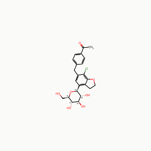 CC(=O)c1ccc(Cc2cc([C@@H]3O[C@H](CO)[C@@H](O)[C@H](O)[C@H]3O)c3c(c2Cl)OCC3)cc1